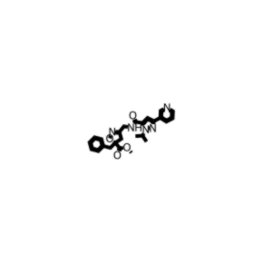 COC(=O)C1(Cc2ccccc2)CC(CNC(=O)c2cc(-c3cccnc3)nn2C(C)C)=NO1